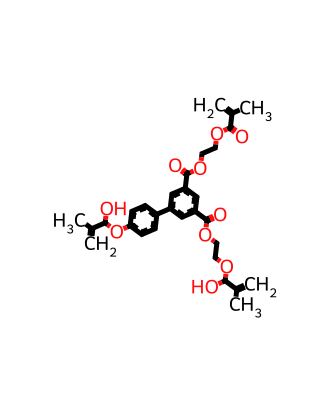 C=C(C)C(=O)OCCOC(=O)c1cc(C(=O)OCCOC(O)C(=C)C)cc(-c2ccc(OC(O)C(=C)C)cc2)c1